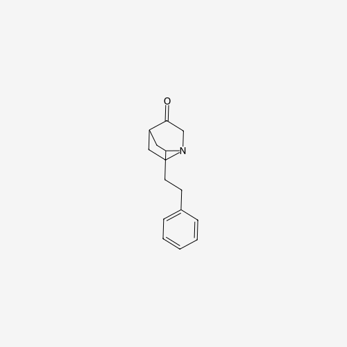 O=C1CN2CCC1CC2CCc1ccccc1